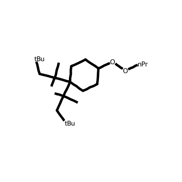 CCCOOC1CCC(C(C)(C)CC(C)(C)C)(C(C)(C)CC(C)(C)C)CC1